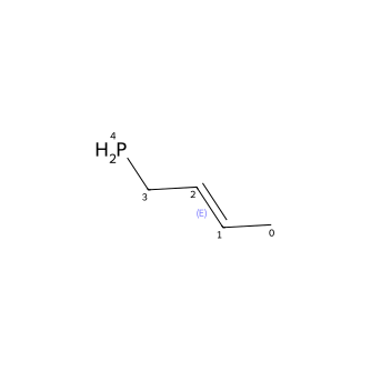 C/C=C/CP